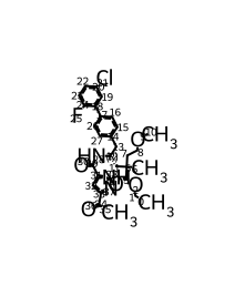 CCOC(=O)C(C)(CCOC)C[C@@H](Cc1ccc(-c2cc(Cl)ccc2F)cc1)NC(=O)c1cc(C(C)=O)n[nH]1